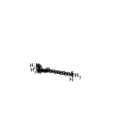 CC(=S)NCCOCCOCCOCCOCCOCCOCCOCCOCCC(=O)N1CCc2cc(Cn3nc(-c4ccc5oc(N)nc5c4)c4c(N)ncnc43)ccc2C1